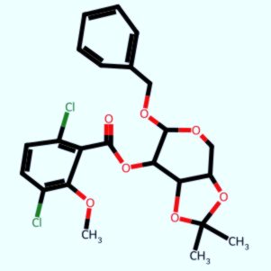 COc1c(Cl)ccc(Cl)c1C(=O)OC1C(OCc2ccccc2)OCC2OC(C)(C)OC21